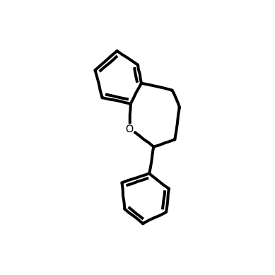 c1ccc(C2CCCc3ccccc3O2)cc1